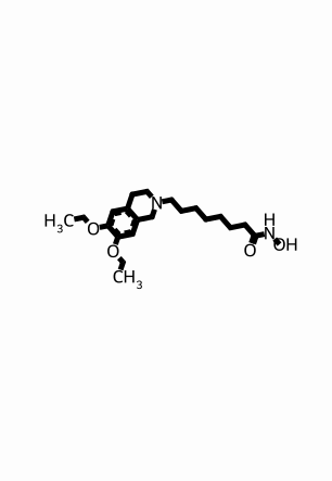 CCOc1cc2c(cc1OCC)CN(CCCCCCCC(=O)NO)CC2